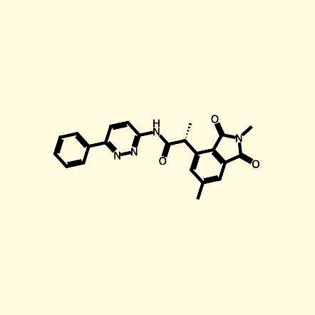 Cc1cc2c(c([C@@H](C)C(=O)Nc3ccc(-c4ccccc4)nn3)c1)C(=O)N(C)C2=O